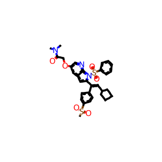 CN(C)C(=O)COc1cnc2c(c1)cc(C(=CC1CCCC1)c1ccc(S(C)(=O)=O)cc1)n2S(=O)(=O)c1ccccc1